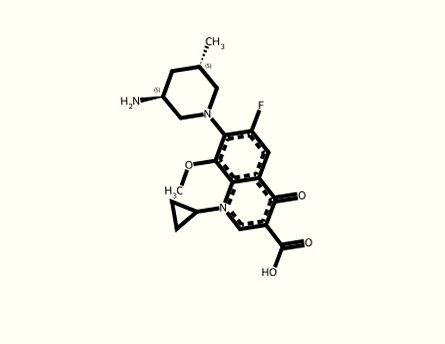 COc1c(N2C[C@@H](C)C[C@H](N)C2)c(F)cc2c(=O)c(C(=O)O)cn(C3CC3)c12